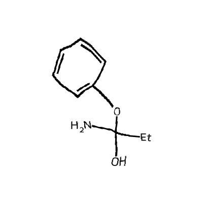 CCC(N)(O)Oc1ccccc1